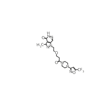 Cc1nn(CCOCCC(=O)N2CCN(c3cc(C(F)(F)F)on3)CC2)c2cn[nH]c(=O)c12